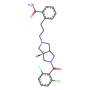 NC(=O)c1ccccc1[CH]CCN1CC2CN(C(=O)c3c(F)cccc3Cl)C[C@@H]2C1